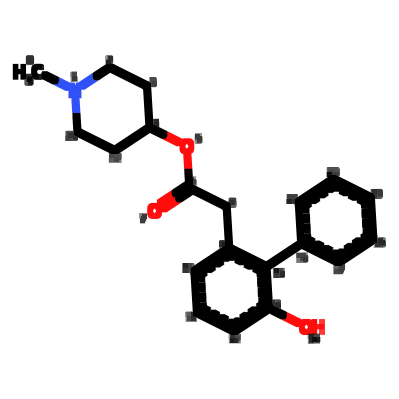 CN1CCC(OC(=O)Cc2cccc(O)c2-c2ccccc2)CC1